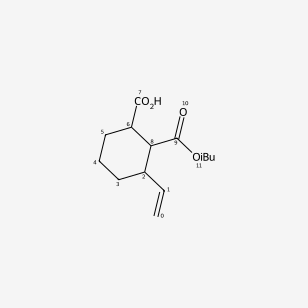 C=CC1CCCC(C(=O)O)C1C(=O)OCC(C)C